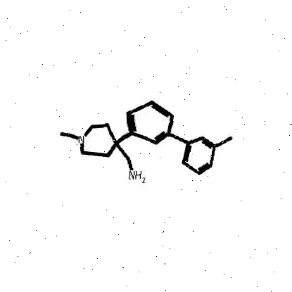 Cc1cccc(-c2cccc(C3(CN)CCN(C)CC3)c2)c1